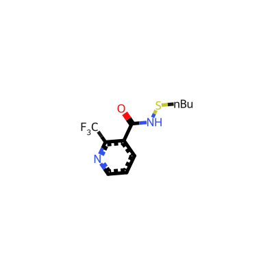 CCCCSNC(=O)c1cccnc1C(F)(F)F